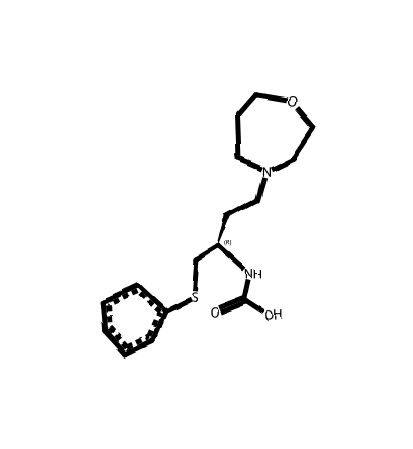 O=C(O)N[C@H](CCN1CCCOCC1)CSc1ccccc1